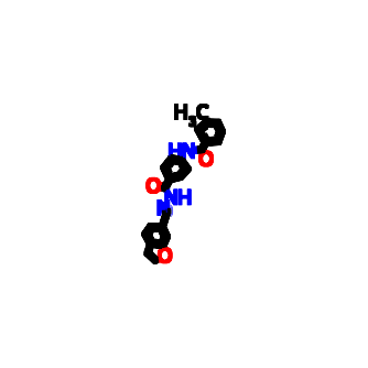 Cc1cccc(C(=O)Nc2ccc(C(=O)N/N=C/c3ccc4c(c3)OCC4)cc2)c1